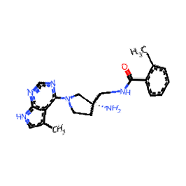 Cc1ccccc1C(=O)NC[C@@]1(N)CCN(c2ncnc3[nH]cc(C)c23)C1